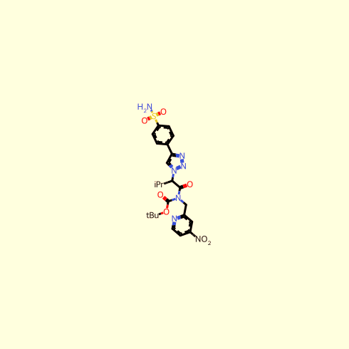 CC(C)C(C(=O)N(Cc1cc([N+](=O)[O-])ccn1)C(=O)OC(C)(C)C)n1cc(-c2ccc(S(N)(=O)=O)cc2)nn1